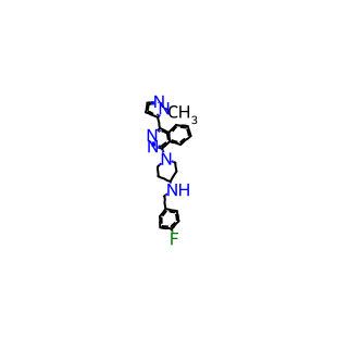 Cn1nccc1-c1nnc(N2CCC(NCc3ccc(F)cc3)CC2)c2ccccc12